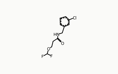 O=C(CCOC(F)F)NCc1cccc(Cl)c1